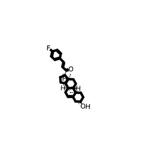 C[C@]12CC[C@H]3[C@@H](CC=C4C[C@@H](O)CC[C@@]43C)[C@@H]1CC[C@@H]2C(=O)C=Cc1ccc(F)cc1